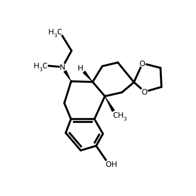 CCN(C)[C@@H]1Cc2ccc(O)cc2[C@@]2(C)CC3(CC[C@@H]12)OCCO3